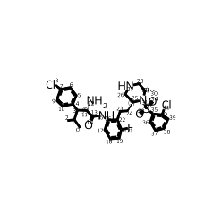 CC(C)C(c1ccc(Cl)cc1)[C@H](N)C(=O)Nc1cccc(F)c1CC[C@H]1CNC[C@H](C)N1S(=O)(=O)c1ccccc1Cl